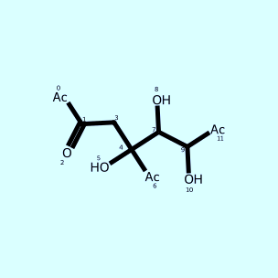 CC(=O)C(=O)CC(O)(C(C)=O)C(O)C(O)C(C)=O